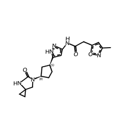 Cc1cc(CC(=O)Nc2cc([C@H]3CC[C@@H](N4CC5(CC5)NC4=O)C3)[nH]n2)on1